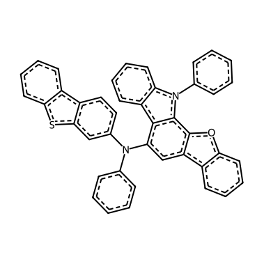 c1ccc(N(c2ccc3c(c2)sc2ccccc23)c2cc3c4ccccc4oc3c3c2c2ccccc2n3-c2ccccc2)cc1